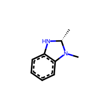 C[C@H]1Nc2ccccc2N1C